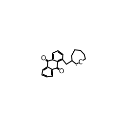 O=C1c2ccccc2C(=O)c2c(CC3[CH]CCCCCC3)cccc21